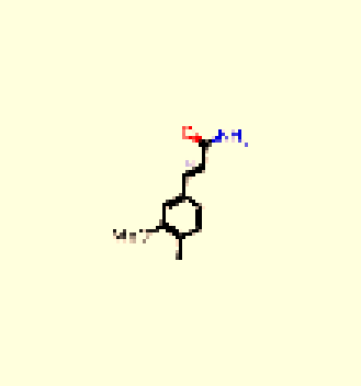 COc1cc(/C=C/C(N)=O)ccc1C